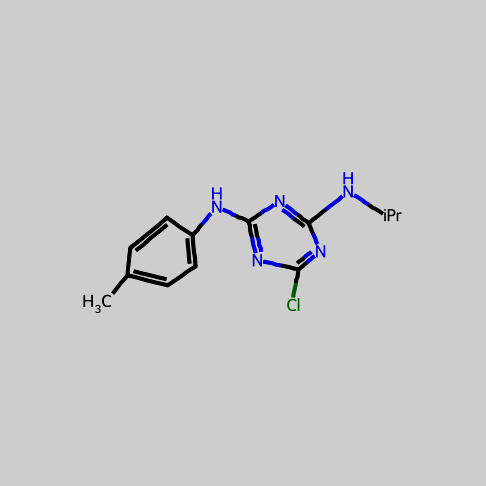 Cc1ccc(Nc2nc(Cl)nc(NC(C)C)n2)cc1